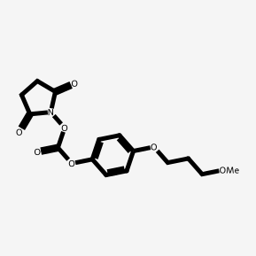 COCCCOc1ccc(OC(=O)ON2C(=O)CCC2=O)cc1